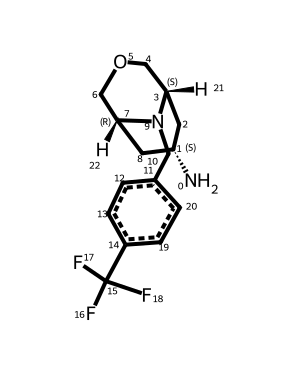 N[C@H]1C[C@H]2COC[C@@H](C1)N2Cc1ccc(C(F)(F)F)cc1